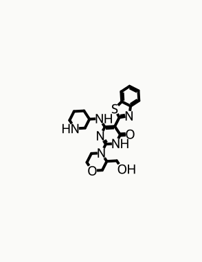 O=c1[nH]c(N2CCOCC2CO)nc(NC2CCCNC2)c1-c1nc2ccccc2s1